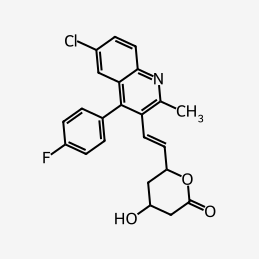 Cc1nc2ccc(Cl)cc2c(-c2ccc(F)cc2)c1C=CC1CC(O)CC(=O)O1